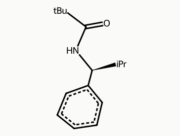 CC(C)[C@H](NC(=O)C(C)(C)C)c1ccccc1